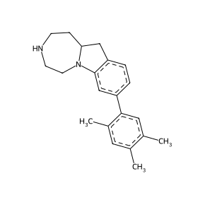 Cc1cc(C)c(-c2ccc3c(c2)N2CCNCCC2C3)cc1C